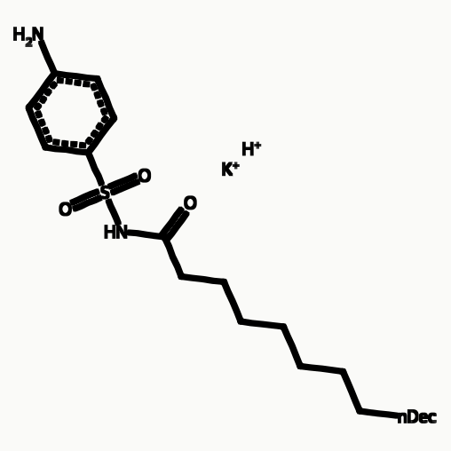 CCCCCCCCCCCCCCCCCC(=O)NS(=O)(=O)c1ccc(N)cc1.[H+].[K+]